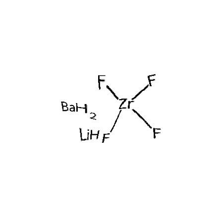 [BaH2].[F][Zr]([F])([F])[F].[LiH]